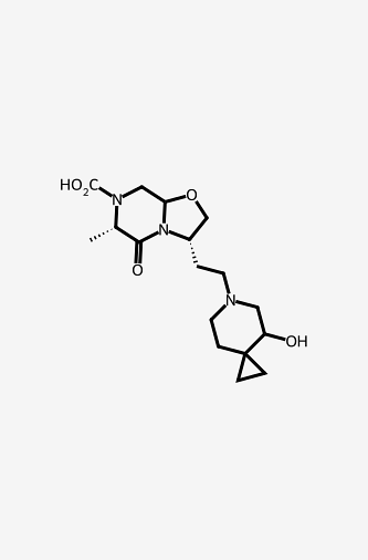 C[C@H]1C(=O)N2C(CN1C(=O)O)OC[C@@H]2CCN1CCC2(CC2)C(O)C1